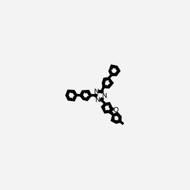 Cc1ccc2c(c1)oc1cc(-c3nc(-c4ccc(-c5ccccc5)cc4)nc(-c4ccc(-c5ccccc5)cc4)n3)ccc12